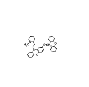 CSc1ccc2c(c1)N(CCC1CCCCN1C)c1ccccc1S2.c1ccc2c(c1)Nc1ccccc1O2